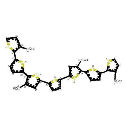 CCCCCCCCc1ccsc1-c1ccc(-c2sc(-c3ccc(-c4cc(CCCCCCCC)c(-c5ccc(-c6sccc6CCCCCCCC)s5)s4)s3)cc2CCCCCCCC)s1